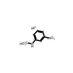 F.O=C(O)Nc1cccc([N+](=O)[O-])c1